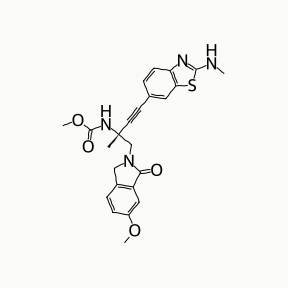 CNc1nc2ccc(C#C[C@](C)(CN3Cc4ccc(OC)cc4C3=O)NC(=O)OC)cc2s1